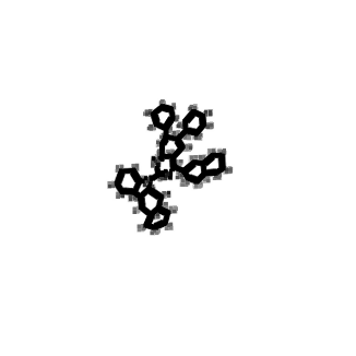 c1ccc(-c2cc3nc(-n4c5ccccc5c5cc6ccccc6cc54)nc(-c4ccc5ccccc5c4)c3cc2-c2ccccc2)cc1